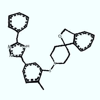 Cc1ccc(-c2nnc(-c3ccccc3)[nH]2)cc1SN1CCC2(CC1)OCc1ccccc12